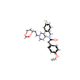 CCCOc1ccc(CC(=O)N(Cc2ccc(F)cc2)C2CCN(CCC3CCOCO3)CC2)cc1